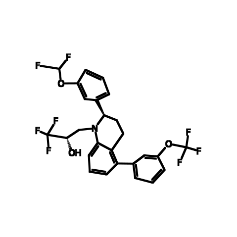 O[C@@H](CN1c2cccc(-c3cccc(OC(F)(F)F)c3)c2CC[C@@H]1c1cccc(OC(F)F)c1)C(F)(F)F